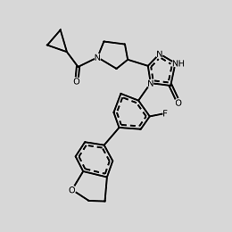 O=C(C1CC1)N1CCC(c2n[nH]c(=O)n2-c2ccc(-c3ccc4c(c3)CCO4)cc2F)C1